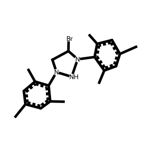 Cc1cc(C)c(N2CC(Br)N(c3c(C)cc(C)cc3C)N2)c(C)c1